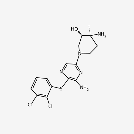 C[C@]1(N)CCN(c2cnc(Sc3cccc(Cl)c3Cl)c(N)n2)C[C@H]1O